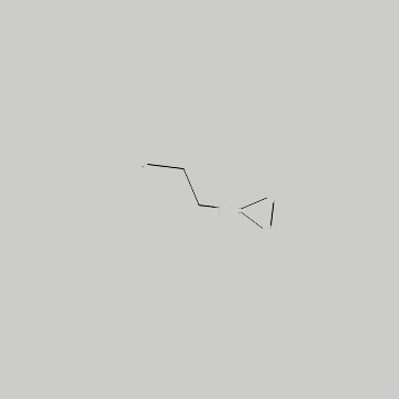 [SiH3]CC[SiH]1OO1